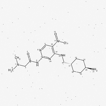 CN(C)CC(=O)Nc1ncc([N+](=O)[O-])c(NC[C@H]2CC[C@H](N)CC2)n1